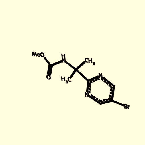 COC(=O)NC(C)(C)c1ncc(Br)cn1